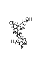 C[C@@H]1C[C@H](F)c2ncnc(N3CCN(C(=O)[C@@H](CN4CCN(CCO)CC4)c4ccc(Cl)cc4)CC3)c21